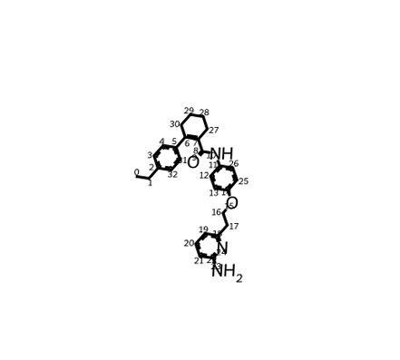 CCc1ccc(C2=C(C(=O)Nc3ccc(OCCc4cccc(N)n4)cc3)CCCC2)cc1